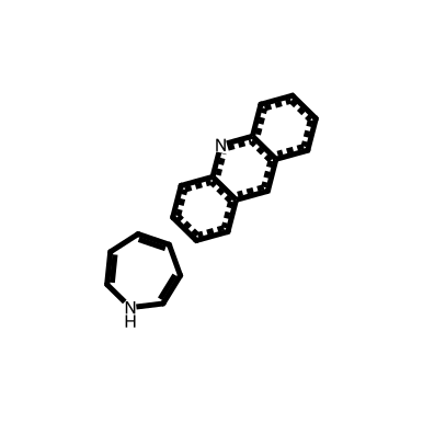 C1=CC=CNC=C1.c1ccc2nc3ccccc3cc2c1